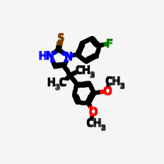 COc1ccc(C(C)(C)c2c[nH]c(=S)n2-c2ccc(F)cc2)cc1OC